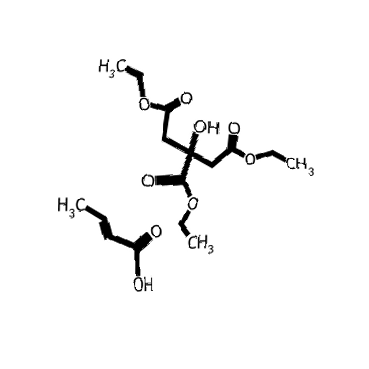 CC=CC(=O)O.CCOC(=O)CC(O)(CC(=O)OCC)C(=O)OCC